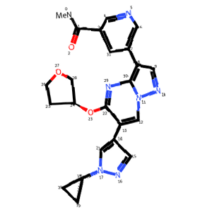 CNC(=O)c1cncc(-c2cnn3cc(-c4cnn(C5CC5)c4)c(O[C@H]4CCOC4)nc23)c1